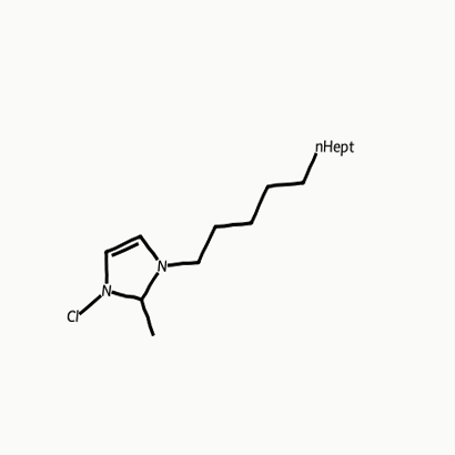 CCCCCCCCCCCCN1C=CN(Cl)C1C